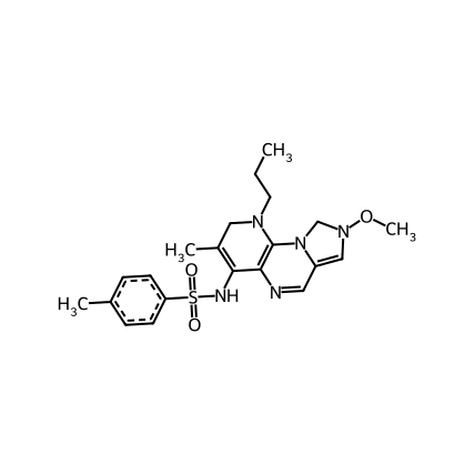 CCCN1CC(C)=C(NS(=O)(=O)c2ccc(C)cc2)C2=C1N1CN(OC)C=C1C=N2